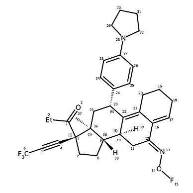 CCC(=O)[C@@]1(C#CC(F)(F)F)CC[C@H]2[C@@H]3CC(=NOF)C4=CCCCC4=C3[C@@H](c3ccc(N4CCCC4)cc3)C[C@@]21C